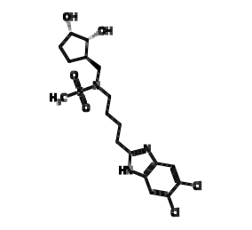 CS(=O)(=O)N(CCCCc1nc2cc(Cl)c(Cl)cc2[nH]1)C[C@H]1CC[C@H](O)[C@@H]1O